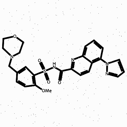 COc1ccc(CN2CCOCC2)cc1S(=O)(=O)NC(=O)c1ccc2c(-n3cccn3)cccc2n1